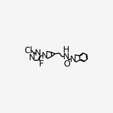 O=C(NCCC1C2CN(c3nc(Cl)ncc3F)CC12)N1Cc2ccccc2C1